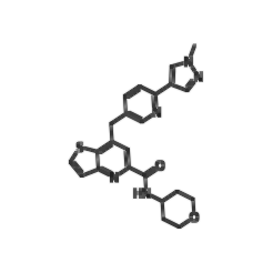 Cn1cc(-c2ccc(Cc3cc(C(=O)NC4CCOCC4)nc4ccsc34)cn2)cn1